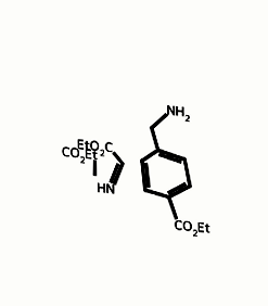 CCOC(=O)C=N.CCOC(=O)c1ccc(CN)cc1.CCOC(C)=O